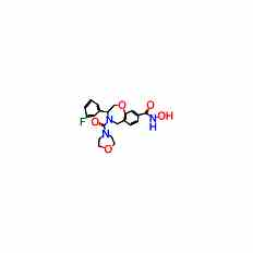 O=C(NO)c1ccc2c(c1)OC[C@H](c1cccc(F)c1)N(C(=O)N1CCOCC1)C2